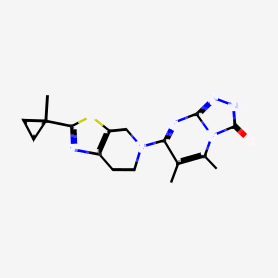 Cc1c(N2CCc3nc(C4(C)CC4)sc3C2)nc2n[nH]c(=O)n2c1C